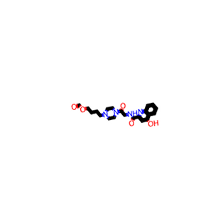 O=COCCCCN1CCN(C(=O)CNC(=O)c2cc(O)c3ccccc3n2)CC1